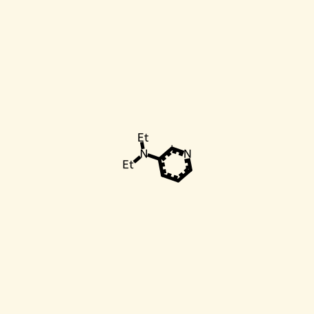 CCN(CC)c1[c]nccc1